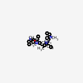 Cc1cc2c(cc1Cc1cc3c(cc1C)C(C)(Cc1ccccc1)C(/C=C/C=C1/N(C)c4ccc5ccccc5c4C14CCCCC4)=[N+]3C)[N+](C)=C(/C=C/C=C1/N(C)c3ccc4ccccc4c3C13CCCCC3)C2(C)Cc1ccccc1